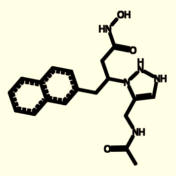 CC(=O)NCC1=CNNN1C(CC(=O)NO)Cc1ccc2ccccc2c1